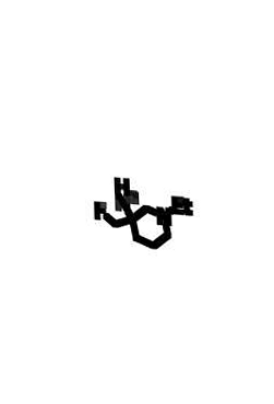 CCN1CCCC(N)(CF)C1